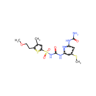 COCCc1sc(S(=O)(=O)NC(=O)Nc2cc(SC)cc(NC(N)=O)n2)cc1C